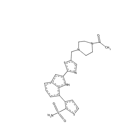 CC(=O)N1CCN(Cc2cnc(-c3cc4cccc(-c5ccsc5S(N)(=O)=O)c4[nH]3)s2)CC1